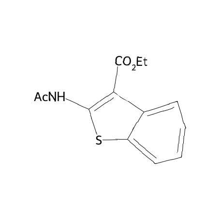 CCOC(=O)c1c(NC(C)=O)sc2ccccc12